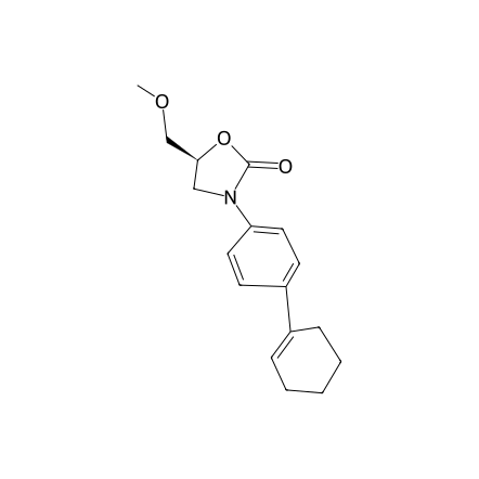 COC[C@@H]1CN(c2ccc(C3=CCCCC3)cc2)C(=O)O1